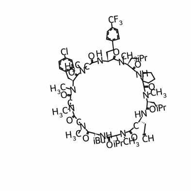 C#CC[C@@H]1CC(=O)N(C)[C@@H](C(C)C)C(=O)N[C@@H]([C@@H](C)CC)C(=O)N(C)CC(=O)N(C)CC(=O)N(C)[C@@H](Cc2ccc(Cl)cc2)C(=O)N(C)CC(=O)N[C@@H](CCc2ccc(C(F)(F)F)cc2)C(=O)N(C)[C@@H](CC(C)C)C(=O)NC2(CCCC2)C(=O)N(C)[C@@H](CC(C)C)C(=O)N1